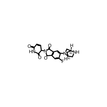 O=C1C=CC(N2C(=O)c3cc(F)c(N4C[C@H]5C[C@@H]4CN5)cc3C2=O)C(=O)N1